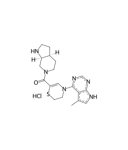 Cc1c[nH]c2ncnc(N3C=C(C(=O)N4CC[C@@H]5CCN[C@@H]5C4)SCC3)c12.Cl